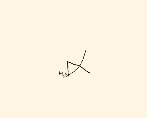 CC1(C)C[SiH2]1